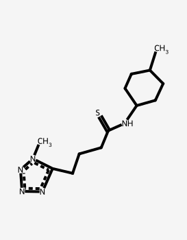 CC1CCC(NC(=S)CCCc2nnnn2C)CC1